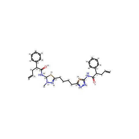 C=CCC(C(=O)Nc1nnc(CCCCC2=NN(C)C(NC(=O)C(CC=C)c3ccccc3)S2)s1)c1ccccc1